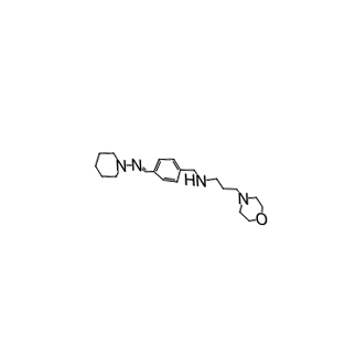 C(=NN1CCCCC1)c1ccc(CNCCCN2CCOCC2)cc1